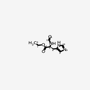 CCOC(=O)[C@H](Cc1cnc[nH]1)NC=O